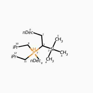 CCCCCCCCCCCC([Si](C)(C)C)[PH](CCCCCCCCCC)(CC(C)C)CC(C)C